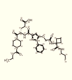 CCOC(=O)N1CCN(C(=O)[C@H](CCC(=O)O)NC(=O)c2cc(OCC(=O)NC3(C(=O)NCCF)CCC3)n(-c3ccccc3)n2)CC1